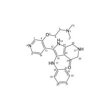 CN(C)CCOc1cnccc1-c1[nH]c2c(c1Nc1ccccc1)C(=O)CNC2